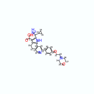 NC(c1[nH]c2c(c1C(=O)O)CCc1cnc(-c3ccc(OCCN4CCOCC4)cc3)cc1-2)C1CC1